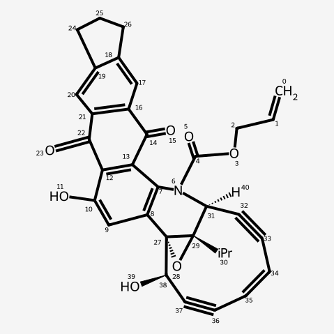 C=CCOC(=O)N1c2c(cc(O)c3c2C(=O)c2cc4c(cc2C3=O)CCC4)[C@@]23O[C@@]2(C(C)C)[C@@H]1C#C/C=C\C#C[C@H]3O